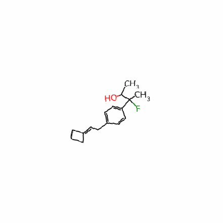 CC(O)C(C)(F)c1ccc(CC=C2CCC2)cc1